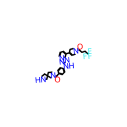 O=C(CCC(F)(F)F)N1CC=C(c2cccn3nc(Nc4ccc(C(=O)N5CCC6(CCNC6)C5)cc4)nc23)CC1